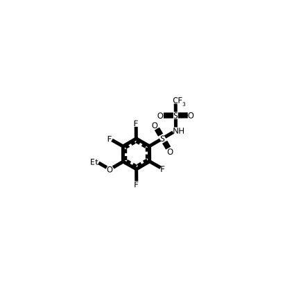 CCOc1c(F)c(F)c(S(=O)(=O)NS(=O)(=O)C(F)(F)F)c(F)c1F